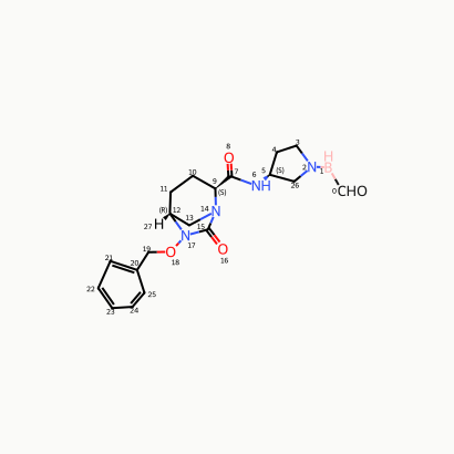 O=CBN1CC[C@H](NC(=O)[C@@H]2CC[C@@H]3CN2C(=O)N3OCc2ccccc2)C1